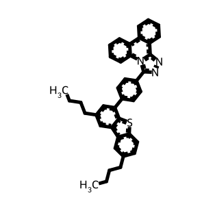 CCCCc1ccc2sc3c(-c4ccc(-c5nnc6c7ccccc7c7ccccc7n56)cc4)cc(CCCC)cc3c2c1